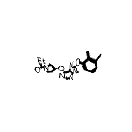 CCC(=O)N1CC[C@H](Oc2ncnc3c2nc(Oc2cccc(C)c2C)n3C)C1